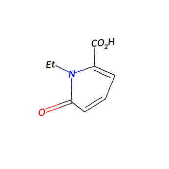 CCn1c(C(=O)O)cccc1=O